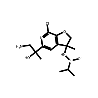 CC(C)[S+]([O-])NC1(C)COc2c1cc(C(C)(O)CN)nc2Cl